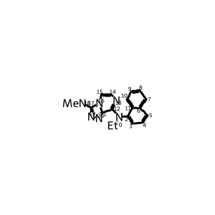 CCN(c1cccc2ccccc12)c1nccn2c(NC)nnc12